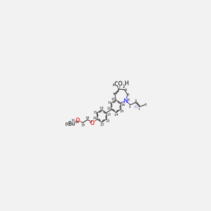 C/C=C/CN1CCC(C(=O)O)=Cc2cc(-c3ccc(OCCOCCCC)cc3)ccc21